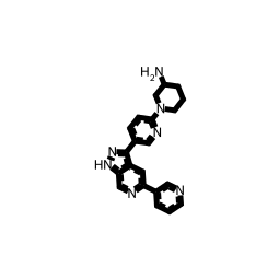 NC1CCCN(c2ccc(-c3n[nH]c4cnc(-c5cccnc5)cc34)cn2)C1